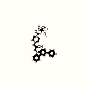 CC(C)(C)OC(=O)N1CCN(CC(O)Cn2c3ccccc3c3cc(-c4ccccc4)ccc32)CC1